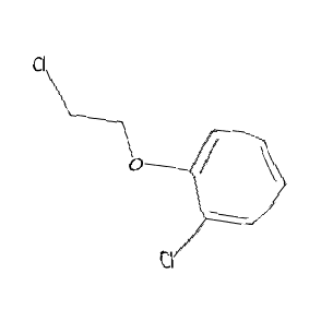 ClCCOc1ccccc1Cl